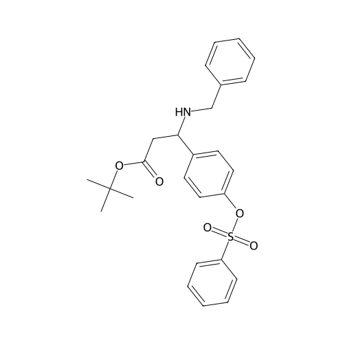 CC(C)(C)OC(=O)CC(NCc1ccccc1)c1ccc(OS(=O)(=O)c2ccccc2)cc1